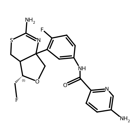 NC1=NC2(c3cc(NC(=O)c4ccc(N)cn4)ccc3F)CO[C@H](CF)C2CS1